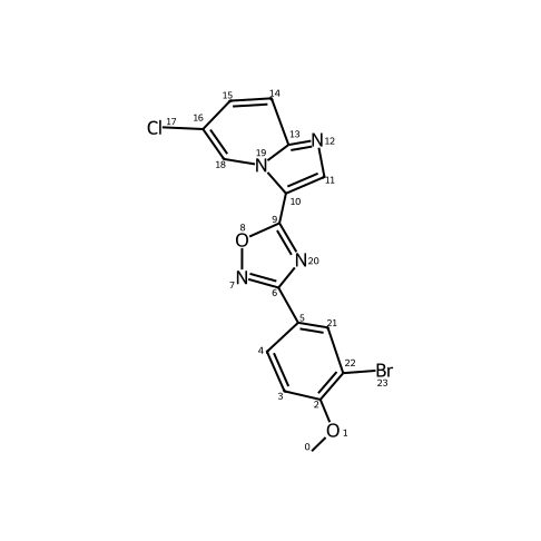 COc1ccc(-c2noc(-c3cnc4ccc(Cl)cn34)n2)cc1Br